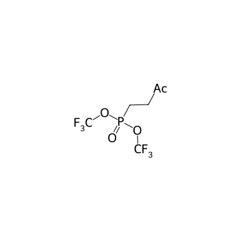 CC(=O)CCP(=O)(OC(F)(F)F)OC(F)(F)F